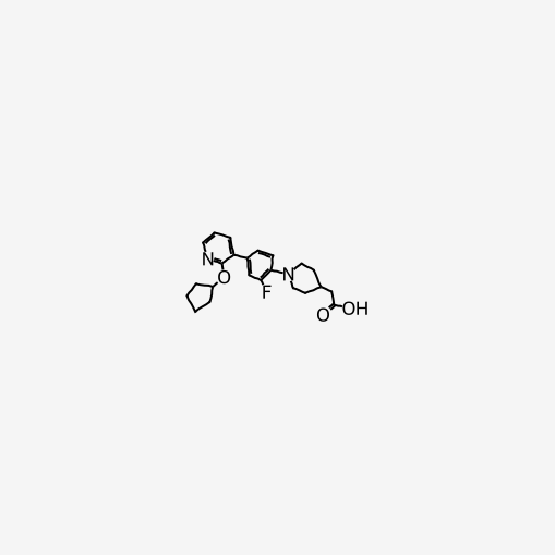 O=C(O)CC1CCN(c2ccc(-c3cccnc3OC3CCCC3)cc2F)CC1